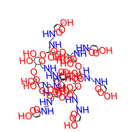 CC(=O)/C=C\C(=O)NCCNCC1OC2OC3C(CNCCNC(=O)/C=C\C(=O)O)OC(OC4C(CNCCNC(=O)/C=C\C(=O)O)OC(OC5C(CNCCNC(=O)/C=C\C(=O)O)OC(OC6C(CNCCNC(=O)/C=C\C(=O)O)OC(OC7C(CNCCNC(=O)/C=C\C(=O)O)OC(OC8C(CNCCNC(=O)/C=C\C(=O)O)OC(OC1C(O)C2O)C(O)C8O)C(O)C7O)C(O)C6O)C(O)C5O)C(O)C4O)C(O)C3O